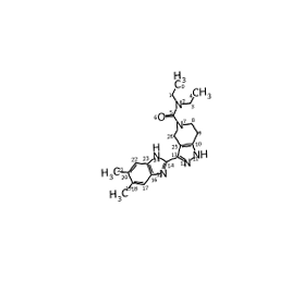 CCN(CC)C(=O)N1CCc2[nH]nc(-c3nc4cc(C)c(C)cc4[nH]3)c2C1